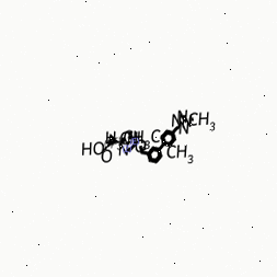 C=C(/N=C\C(=N/C)OCc1cccc(-c2c(C)cc(-c3nnn(C)n3)cc2C)c1)[C@H]1C[C@@H]1C(=O)O